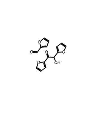 O=C(c1ccco1)C(O)c1ccco1.O=Cc1ccco1